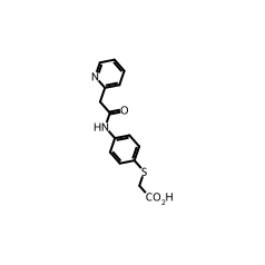 O=C(O)CSc1ccc(NC(=O)Cc2ccccn2)cc1